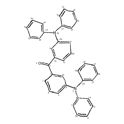 O=C(c1cccc(N(c2ccccc2)c2ccccc2)c1)c1cccc(N(c2ccccc2)c2ccccc2)c1